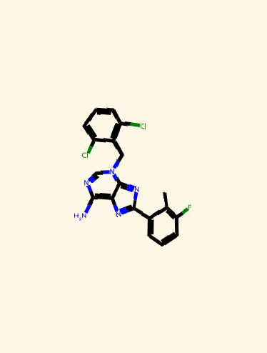 Cc1c(F)cccc1-c1nc2c(N)ncn(Cc3c(Cl)cccc3Cl)c-2n1